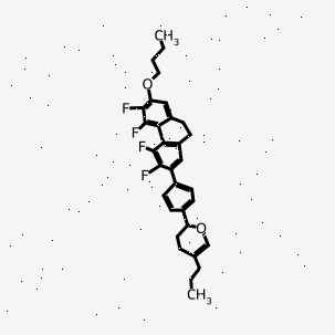 CCCCOc1cc2c(c(F)c1F)-c1c(cc(-c3ccc(C4CCC(CCC)=CO4)cc3)c(F)c1F)CC2